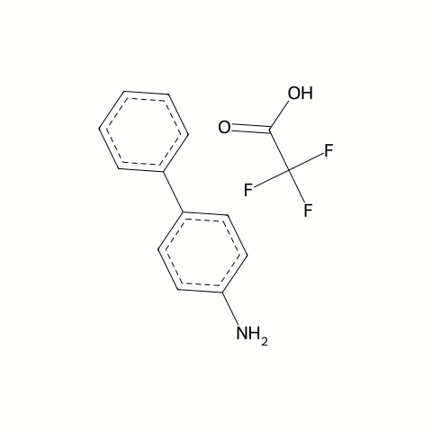 Nc1ccc(-c2ccccc2)cc1.O=C(O)C(F)(F)F